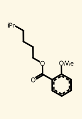 COc1ccccc1C(=O)OCCCCC(C)C